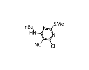 CCCCNc1nc(SC)nc(Cl)c1C#N